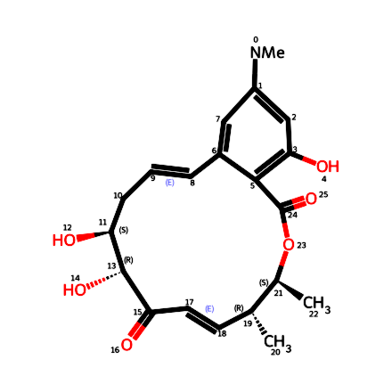 CNc1cc(O)c2c(c1)/C=C/C[C@H](O)[C@@H](O)C(=O)/C=C/[C@@H](C)[C@H](C)OC2=O